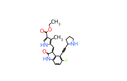 CCOC(=O)c1c[nH]c(C=C2C(=O)Nc3ccc(F)c(C#CC4CCCN4)c32)c1C